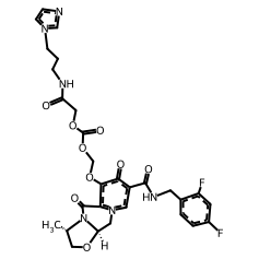 C[C@H]1CO[C@@H]2Cn3cc(C(=O)NCc4ccc(F)cc4F)c(=O)c(OCOC(=O)OCC(=O)NCCCn4ccnc4)c3C(=O)N12